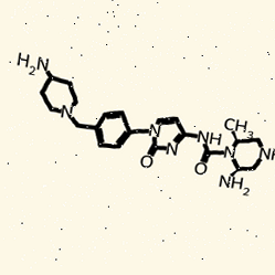 C[C@H]1CNC[C@@H](N)N1C(=O)Nc1ccn(-c2ccc(CN3CCC(N)CC3)cc2)c(=O)n1